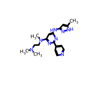 Cc1cc(Nc2cc(N(C)CCN(C)C)nc(-c3ccncc3)n2)n[nH]1